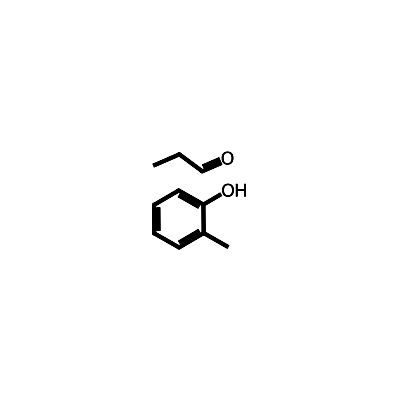 CCC=O.Cc1ccccc1O